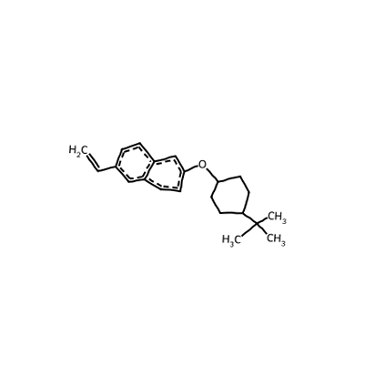 C=Cc1ccc2cc(OC3CCC(C(C)(C)C)CC3)ccc2c1